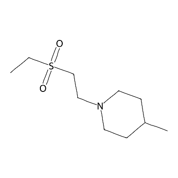 CCS(=O)(=O)CCN1CCC(C)CC1